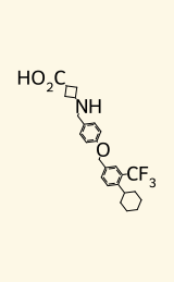 O=C(O)C1CC(NCc2ccc(OCc3ccc(C4CCCCC4)c(C(F)(F)F)c3)cc2)C1